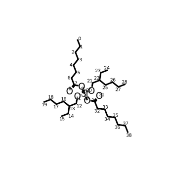 CCCCCCCC(=O)O[Si](OCC(CC)CCCC)(OCC(CC)CCCC)OC(=O)CCCCCCC